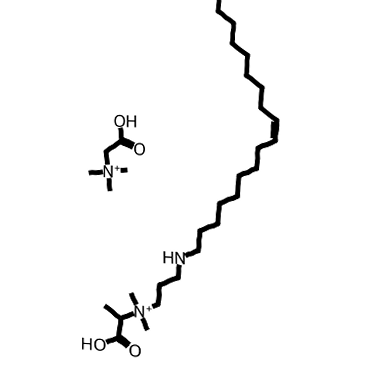 CCCCCCCC/C=C\CCCCCCCCNCCC[N+](C)(C)C(C)C(=O)O.C[N+](C)(C)CC(=O)O